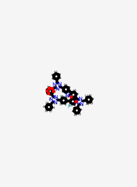 Fc1cccc(F)c1-c1ccc(-c2nc(-c3ccccc3)nc(-c3ccccc3)n2)cc1-n1c2cc(-c3nc(-c4ccccc4)nc(-c4ccccc4)n3)ccc2c2ccc(-c3nc(-c4ccccc4)nc(-c4ccccc4)n3)cc21